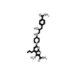 CCCc1cc(N2CCC(NCC(O)Cc3ccc(C(N)=O)cc3)CC2)nc2sc(C(N)=O)c(N)c12